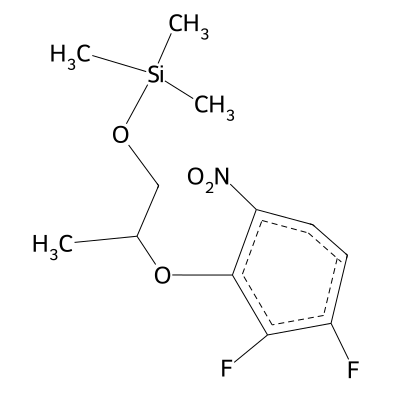 CC(CO[Si](C)(C)C)Oc1c([N+](=O)[O-])ccc(F)c1F